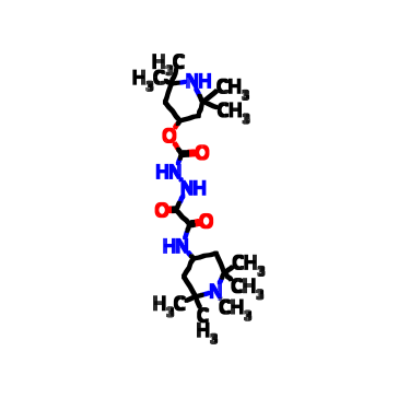 CN1C(C)(C)CC(NC(=O)C(=O)NNC(=O)OC2CC(C)(C)NC(C)(C)C2)CC1(C)C